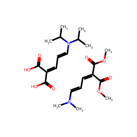 CC(C)N(C=CC=C(C(=O)O)C(=O)O)C(C)C.COC(=O)C(=CC=CN(C)C)C(=O)OC